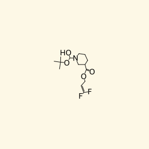 CC(C)(C)OC(O)N1CCCC(C(=O)OCC=C(F)F)C1